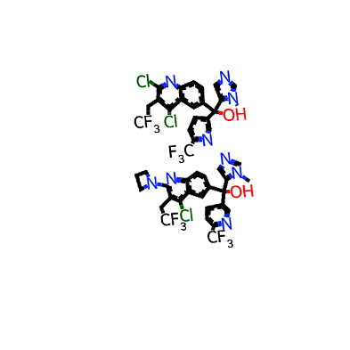 Cn1cncc1C(O)(c1ccc(C(F)(F)F)nc1)c1ccc2nc(Cl)c(CC(F)(F)F)c(Cl)c2c1.Cn1cncc1C(O)(c1ccc(C(F)(F)F)nc1)c1ccc2nc(N3CCC3)c(CC(F)(F)F)c(Cl)c2c1